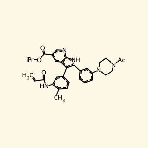 C=CC(=O)Nc1cc(-c2c(-c3cccc(N4CCN(C(C)=O)CC4)c3)[nH]c3ncc(C(=O)OC(C)C)cc23)ccc1C